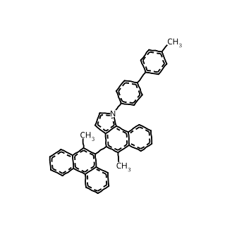 Cc1ccc(-c2ccc(-n3ccc4c(-c5c(C)c6ccccc6c6ccccc56)c(C)c5ccccc5c43)cc2)cc1